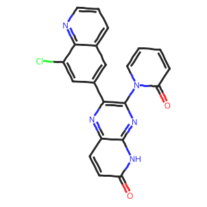 O=c1ccc2nc(-c3cc(Cl)c4ncccc4c3)c(-n3ccccc3=O)nc2[nH]1